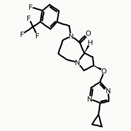 O=C1[C@@H]2C[C@@H](Oc3cnc(C4CC4)cn3)CN2CCCN1Cc1ccc(F)c(C(F)(F)F)c1